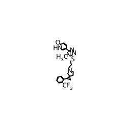 Cn1c(SCCCN2CCC3(CC3c3ccccc3C(F)(F)F)C2)nnc1-c1ccc(=O)[nH]c1